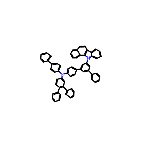 c1ccc(-c2ccc(N(c3ccc(-c4cc(-c5ccccc5)cc(-n5c6ccccc6c6ccc7ccccc7c65)c4)cc3)c3ccc(-c4ccccc4)c(-c4ccccc4)c3)cc2)cc1